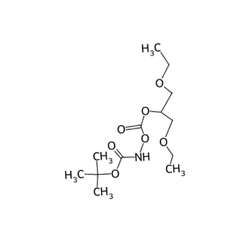 CCOCC(COCC)OC(=O)ONC(=O)OC(C)(C)C